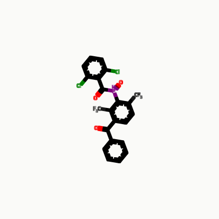 O=C(c1ccccc1)c1ccc(C(F)(F)F)c([PH](=O)C(=O)c2c(Cl)cccc2Cl)c1C(F)(F)F